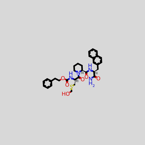 NC(=O)[C@H](Cc1ccc2ccccc2c1)NC(=O)[C@@H]1CCCCN1C(=O)[C@H](CSCO)NC(=O)OCCc1ccccc1